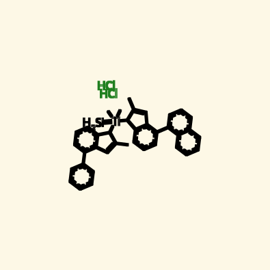 CC1=Cc2c(-c3ccccc3)cccc2[CH]1[Ti]([CH3])([CH3])(=[SiH2])[CH]1C(C)=Cc2c(-c3cccc4ccccc34)cccc21.Cl.Cl